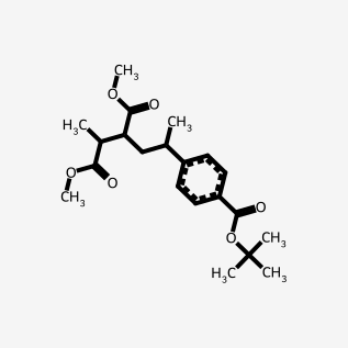 COC(=O)C(C)C(CC(C)c1ccc(C(=O)OC(C)(C)C)cc1)C(=O)OC